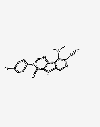 [C-]#[N+]c1ncc2sc3c(=O)n(-c4ccc(Cl)cc4)cnc3c2c1N(C)C